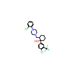 OC1(c2ccc(Cl)c(C(F)(F)F)c2)CCCCC1CN1CCN(c2ccccc2Cl)CC1